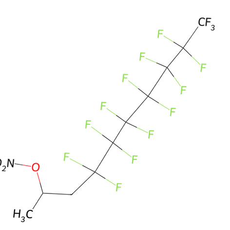 CC(CC(F)(F)C(F)(F)C(F)(F)C(F)(F)C(F)(F)C(F)(F)C(F)(F)F)O[N+](=O)[O-]